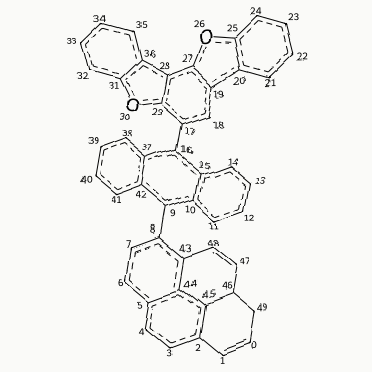 C1=Cc2ccc3ccc(-c4c5ccccc5c(-c5cc6c7ccccc7oc6c6c5oc5ccccc56)c5ccccc45)c4c3c2C(C=C4)C1